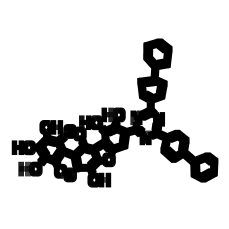 Oc1c(O)c2ooc3c(O)c4oc5cc(-c6nc(-c7ccc(-c8ccccc8)cc7)nc(-c7ccc(-c8ccccc8)cc7)n6)c(O)c(O)c5c4c4ooc(c1O)c2-c34